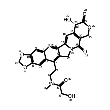 CN(CCc1c2c(nc3cc4c(cc13)OCO4)-c1cc3c(c(=O)n1C2)COC(=O)[C@H]3O)C(=O)CO